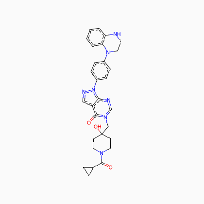 O=C(C1CC1)N1CCC(O)(Cn2cnc3c(cnn3-c3ccc(N4CCNc5ccccc54)cc3)c2=O)CC1